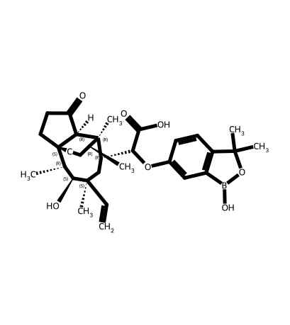 C=C[C@]1(C)C[C@@H](C(Oc2ccc3c(c2)B(O)OC3(C)C)C(=O)O)[C@@]2(C)[C@H](C)CC[C@]3(CCC(=O)[C@H]32)[C@@H](C)[C@@H]1O